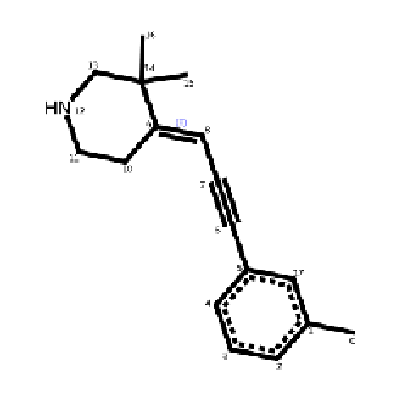 Cc1cccc(C#C/C=C2\CCNCC2(C)C)c1